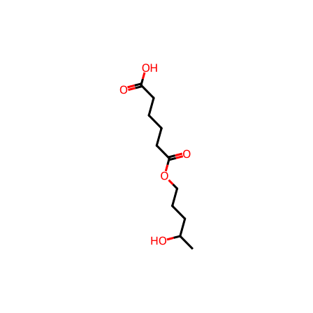 CC(O)CCCOC(=O)CCCCC(=O)O